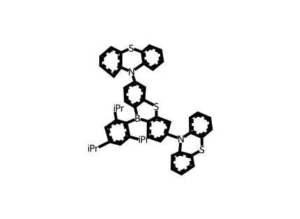 CC(C)c1cc(C(C)C)c(B2c3ccc(N4c5ccccc5Sc5ccccc54)cc3Sc3cc(N4c5ccccc5Sc5ccccc54)ccc32)c(C(C)C)c1